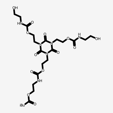 CCC(C)C(=O)OCCNC(=O)OCCn1c(=O)n(CCOC(=O)NCCO)c(=O)n(CCOC(=O)NCCO)c1=O